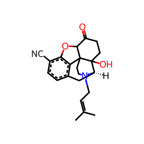 CC(C)=CCN1CCC23c4c5ccc(C#N)c4OC2C(=O)CCC3(O)[C@H]1C5